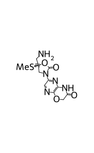 CS[C@]1(CN)CN(c2cnc3c(n2)NC(=O)CO3)C(=O)O1